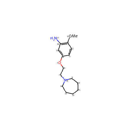 COc1ccc(OCCN2CCCCCC2)cc1N